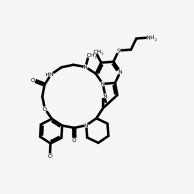 Cc1c(SCCN)nc2cc3nn2c1N(C)CCNC(=O)COc1ccc(Cl)cc1C(=O)N1CCCCC31